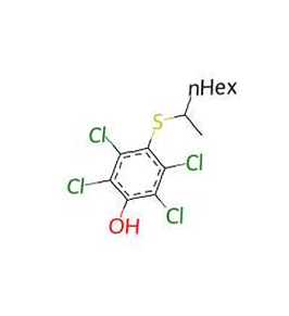 CCCCCCC(C)Sc1c(Cl)c(Cl)c(O)c(Cl)c1Cl